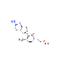 COCCn1ccc(C)c(-c2ccc3nc(N)ncc3c2)c1=O